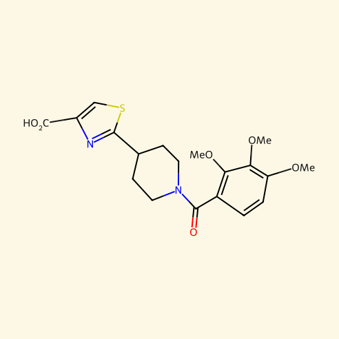 COc1ccc(C(=O)N2CCC(c3nc(C(=O)O)cs3)CC2)c(OC)c1OC